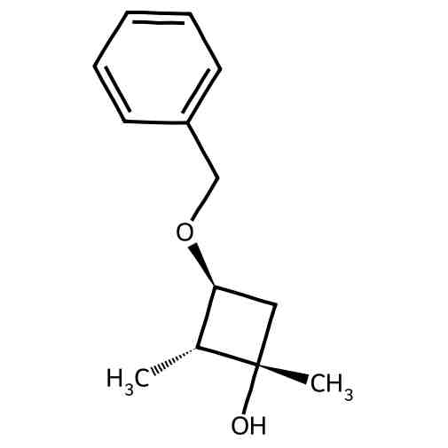 C[C@@H]1[C@@H](OCc2ccccc2)C[C@]1(C)O